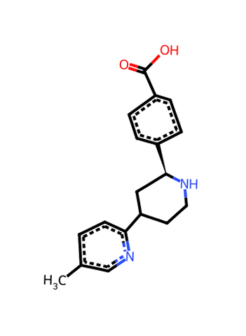 Cc1ccc(C2CCN[C@H](c3ccc(C(=O)O)cc3)C2)nc1